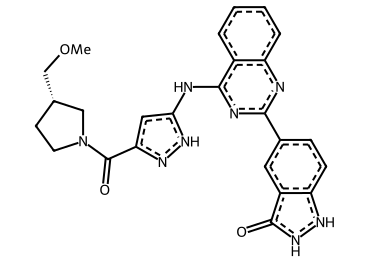 COC[C@H]1CCN(C(=O)c2cc(Nc3nc(-c4ccc5[nH][nH]c(=O)c5c4)nc4ccccc34)[nH]n2)C1